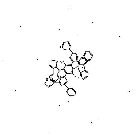 Nc1c(-c2nc(-c3ccccc3)cc(-c3ccccc3)n2)c(-n2c3ccccc3c3ccccc32)c(N)c(-c2nc(-c3ccccc3)cc(-c3ccccc3)n2)c1-n1c2ccccc2c2ccccc21